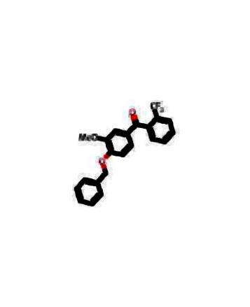 COc1cc(C(=O)c2ccccc2C(F)(F)F)ccc1OCc1ccccc1